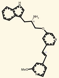 COc1cc(/C=C/c2cncc(OC[C@@H](N)Cc3c[nH]c4ccccc34)c2)ccn1